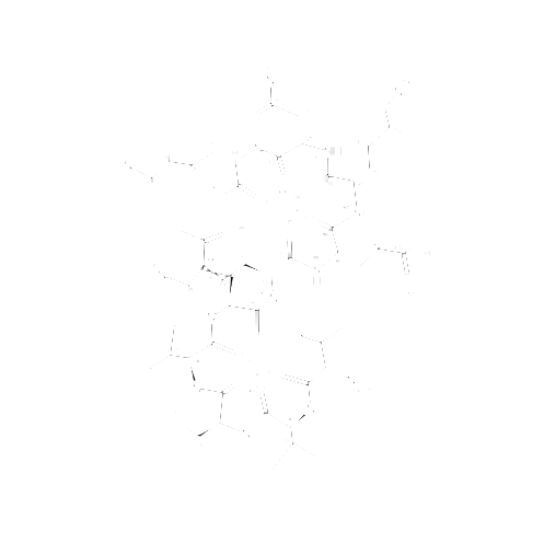 CC(C)[C@H](N)C(=O)N[C@H](C(=O)N[C@@H](CO)C(=O)N[C@H](C(=O)N[C@@H](CCC(=O)O)C(=O)N[C@@H](CCCCN)C(=O)N[C@@H](CCC(=O)O)C(=O)N[C@@H](CCCCN)C(=O)N[C@@H](CC(N)=O)C(=O)N[C@@H](CCCCN)C(=O)O)C(C)C)C(C)C